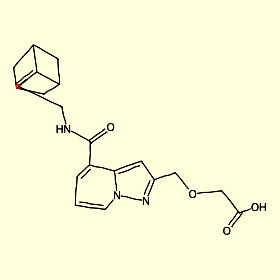 O=C(O)COCc1cc2c(C(=O)NCC3=C4C5CC(C3)CC4C5)cccn2n1